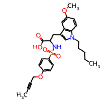 CC#CCOc1ccc(S(=O)(=O)NC(Cc2cn(CCCCC)c3ccc(OC)cc23)C(=O)O)cc1